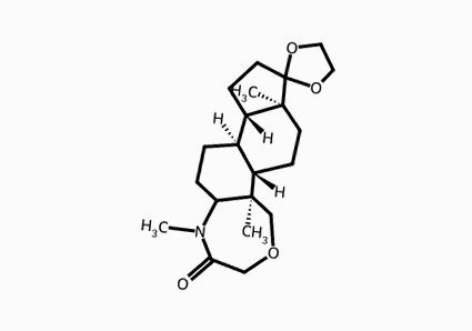 CN1C(=O)COC[C@@]2(C)C1CC[C@@H]1[C@@H]2CC[C@@]2(C)[C@H]1CCC21OCCO1